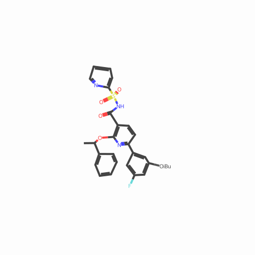 CC(C)COc1cc(F)cc(-c2ccc(C(=O)NS(=O)(=O)c3ccccn3)c(OC(C)c3ccccc3)n2)c1